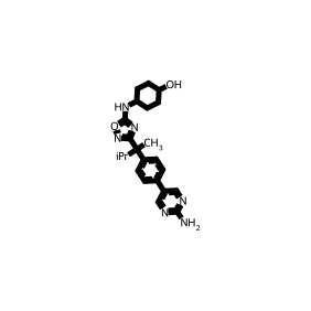 CC(C)C(C)(c1ccc(-c2cnc(N)nc2)cc1)c1noc(NC2CCC(O)CC2)n1